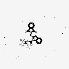 CC(C)(C)OC(=O)N1c2ccccc2C[C@@H]1CN1C(=O)c2ccccc2C1=O